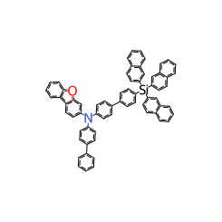 c1ccc(-c2ccc(N(c3ccc(-c4ccc([Si](c5ccc6ccccc6c5)(c5ccc6ccccc6c5)c5ccc6ccccc6c5)cc4)cc3)c3ccc4c(c3)oc3ccccc34)cc2)cc1